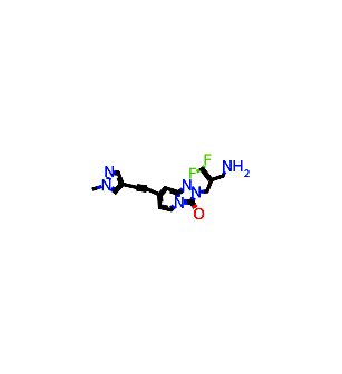 Cn1cc(C#Cc2ccn3c(=O)n(CC(CN)=C(F)F)nc3c2)cn1